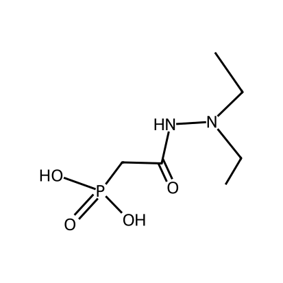 CCN(CC)NC(=O)CP(=O)(O)O